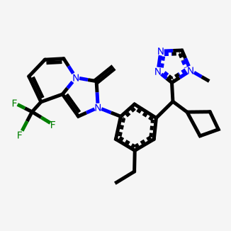 C=C1N2C=CC=C(C(F)(F)F)C2=CN1c1cc(CC)cc(C(c2nncn2C)C2CCC2)c1